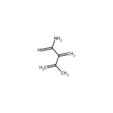 C=C(C)C(=C)C(=N)N